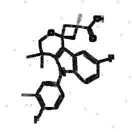 Cc1cc(-n2c3c(c4cc(F)ccc42)[C@]2(C[C@](C)(C(=O)O)C2)OCC3(C)C)ccc1F